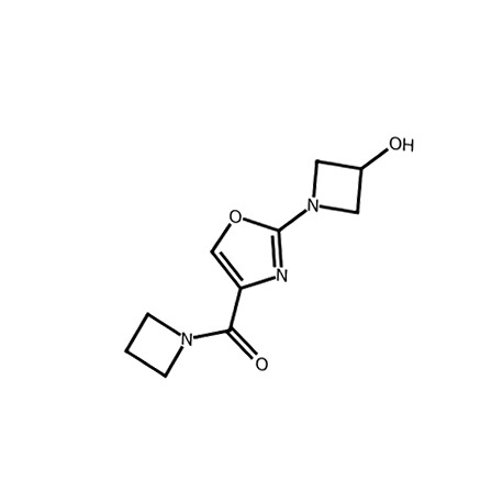 O=C(c1coc(N2CC(O)C2)n1)N1CCC1